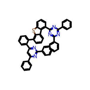 c1ccc(-c2cc(-c3ccccc3-c3cccc4c3sc3cccc(-c5nc(-c6ccccc6)nc(-c6ccccc6)n5)c34)nc(-c3ccccc3)n2)cc1